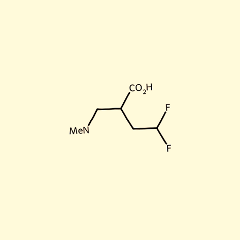 CNCC(CC(F)F)C(=O)O